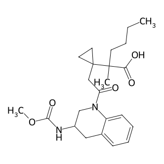 CCCCC(C)(C(=O)O)C1(CC(=O)N2CC(NC(=O)OC)Cc3ccccc32)CC1